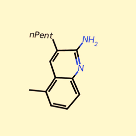 CCCCCc1cc2c(C)cccc2nc1N